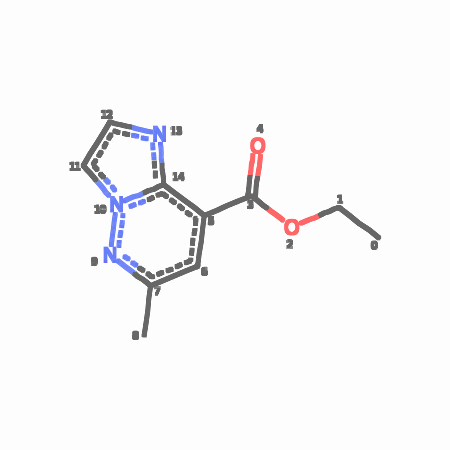 CCOC(=O)c1cc(C)nn2ccnc12